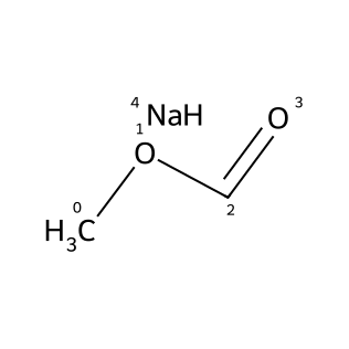 COC=O.[NaH]